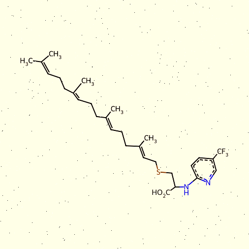 CC(C)=CCC/C(C)=C/CC/C(C)=C/CC/C(C)=C/CSCC(Nc1ccc(C(F)(F)F)cn1)C(=O)O